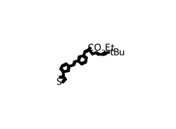 CCOC(=O)/C(=C/c1cccc(/C=C/c2cccc(-c3ccsc3)c2)c1)C/C=C/C#CC(C)(C)C